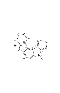 Cn1c2ccccc2c2c3c(ccc21)C[C@H]1CCCCC31